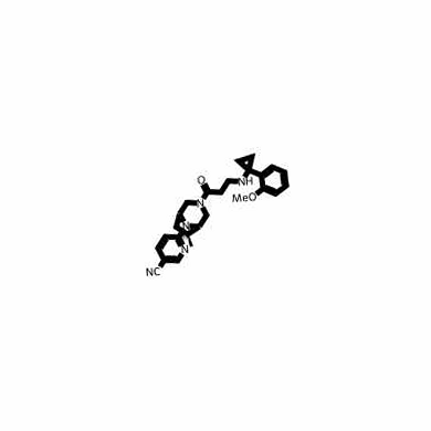 COc1ccccc1C1(NCCC(=O)N2CC3C[C@H](C)C(C2)N3c2ccc(C#N)cn2)CC1